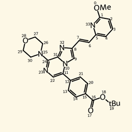 COc1cccc(C=Cc2cn3c(-c4ccc(C(=O)OC(C)(C)C)cc4)cnc(N4CCOCC4)c3n2)n1